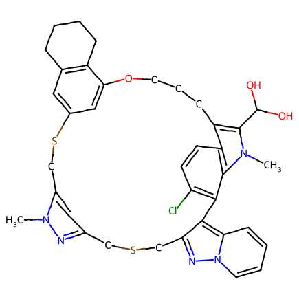 Cn1nc2cc1CSc1cc3c(c(c1)OCCCc1c(C(O)O)n(C)c4c(c(Cl)ccc14)-c1c(nn4ccccc14)CSC2)CCCC3